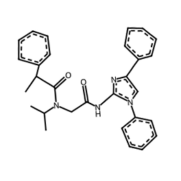 CC(C(=O)N(CC(=O)Nc1nc(-c2ccccc2)cn1-c1ccccc1)C(C)C)c1ccccc1